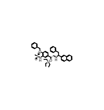 CC[Si](CC)(CC)O[C@@H](CNC(Cc1ccccc1)c1ccc2ccccc2c1)c1ccc(OCc2ccccc2)c(NS(C)(=O)=O)c1